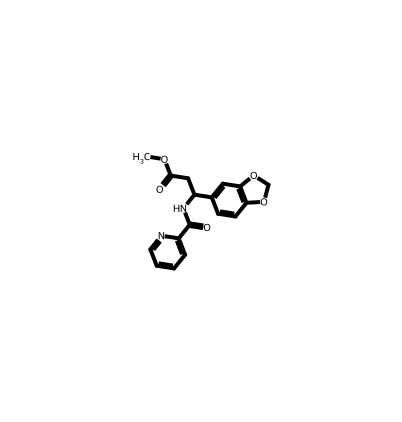 COC(=O)CC(NC(=O)c1ccccn1)c1ccc2c(c1)OCO2